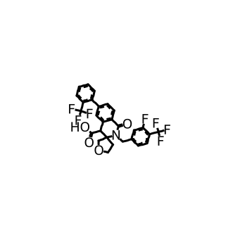 O=C(O)C1c2cc(-c3ccccc3C(F)(F)F)ccc2C(=O)N(Cc2ccc(C(F)(F)F)c(F)c2)C12CCOC2